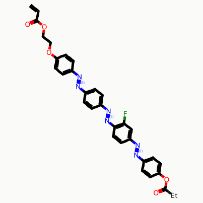 C=CC(=O)OCCOc1ccc(/N=N/c2ccc(/N=N/c3ccc(/N=N/c4ccc(OC(=O)CC)cc4)cc3F)cc2)cc1